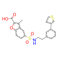 Cc1c(C(=O)O)oc2ccc(S(=O)(=O)NCCc3cccc(-c4ccsc4)c3)cc12